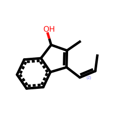 C/C=C\C1=C(C)C(O)c2ccccc21